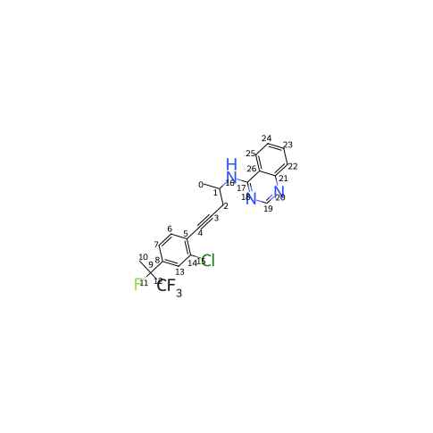 CC(CC#Cc1ccc(C(C)(F)C(F)(F)F)cc1Cl)Nc1ncnc2ccccc12